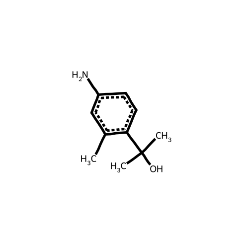 Cc1cc(N)ccc1C(C)(C)O